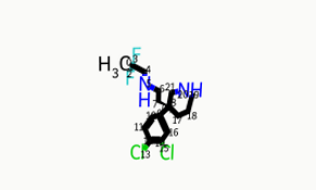 CC(F)(F)CNCC[C@]1(c2ccc(Cl)c(Cl)c2)CCCNC1